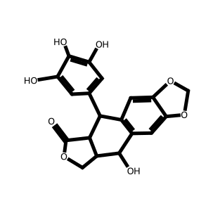 O=C1OCC2C(O)c3cc4c(cc3C(c3cc(O)c(O)c(O)c3)C12)OCO4